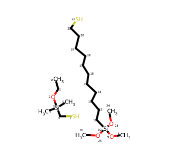 CCO[Si](C)(C)CS.CO[Si](CCCCCCCCCCCS)(OC)OC